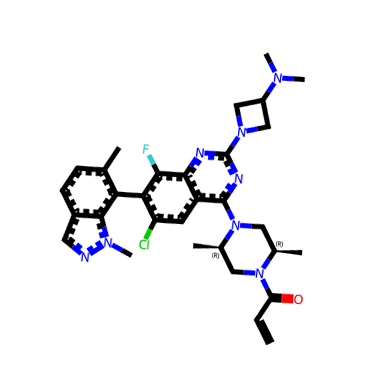 C=CC(=O)N1C[C@@H](C)N(c2nc(N3CC(N(C)C)C3)nc3c(F)c(-c4c(C)ccc5cnn(C)c45)c(Cl)cc23)C[C@H]1C